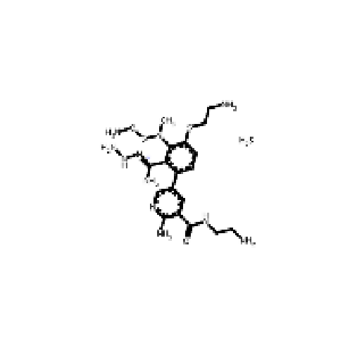 CN(SON)c1c(SCCN)ccc(-c2cnc(N)c(C(=O)NCCN)c2)c1/C(N)=N/NN.S